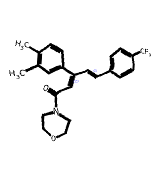 Cc1ccc(C(=C\C(=O)N2CCOCC2)/C=C/c2ccc(C(F)(F)F)cc2)cc1C